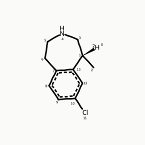 [2H][C@]1(C)CNCCc2ccc(Cl)cc21